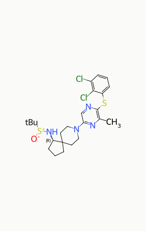 Cc1nc(N2CCC3(CCC[C@H]3N[S+]([O-])C(C)(C)C)CC2)cnc1Sc1cccc(Cl)c1Cl